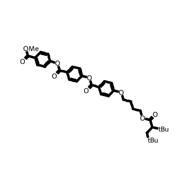 COC(=O)c1ccc(OC(=O)c2ccc(OC(=O)c3ccc(OCCCCOC(=O)C(CC(C)(C)C)C(C)(C)C)cc3)cc2)cc1